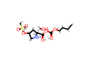 CCCCOC(=O)OC(=O)[C@]1(CO)CC(OS(C)(=O)=O)CN1